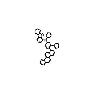 c1ccc(-c2cc(N(c3ccccc3)c3cccc4c3oc3ccccc34)ccc2-c2cccc3c2ccc2c4ccccc4ccc32)cc1